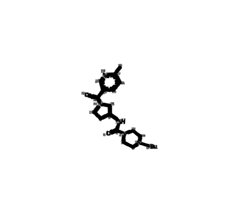 CCC(C)N1CCN(C(=O)NC2CCN(C(=O)c3ccc(C)nc3)C2)CC1